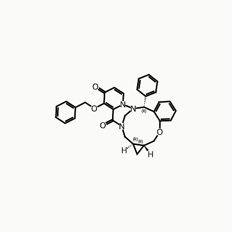 O=C1c2c(OCc3ccccc3)c(=O)ccn2N2CN1C[C@@H]1C[C@H]1COc1ccccc1[C@H]2c1ccccc1